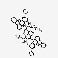 CC(C)c1cc(N(c2ccc(C3CCCC3)cc2)c2cccc3c4c(oc23)CCC=C4)c2ccc3c(C(C)C)cc(N(c4ccc(C5CCCC5)cc4)c4cccc5c4oc4ccccc45)c4ccc1c2c34